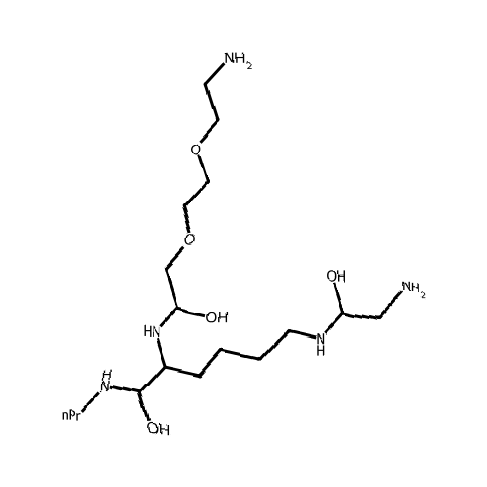 CCCNC(O)C(CCCCNC(O)CN)NC(O)COCCOCCN